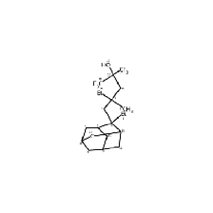 CCC(C)(CC1(CC)C2CC3CC(C2)CC1C3)CC(O)(C(F)(F)F)C(F)(F)F